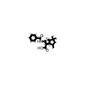 CC1CC(C)(C)c2sc(NC(=O)c3ccccc3)c(C(=O)O)c21